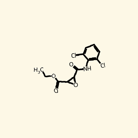 CCOC(=O)C1OC1C(=O)Nc1c(Cl)cccc1Cl